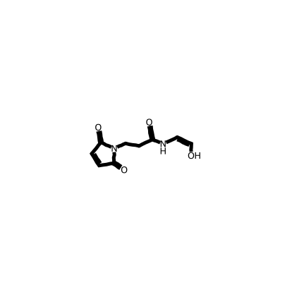 O=C(CCN1C(=O)C=CC1=O)N/C=C\O